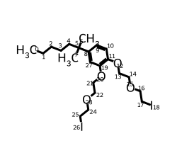 CCCCCC(C)(C)c1ccc(OCCOCCI)c(OCCOCCI)c1